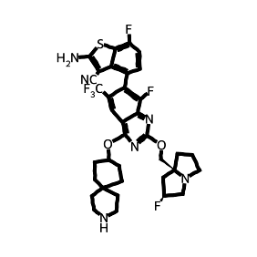 N#Cc1c(N)sc2c(F)ccc(-c3c(C(F)(F)F)cc4c(OC5CCC6(CCNCC6)CC5)nc(OC[C@@]56CCCN5C[C@H](F)C6)nc4c3F)c12